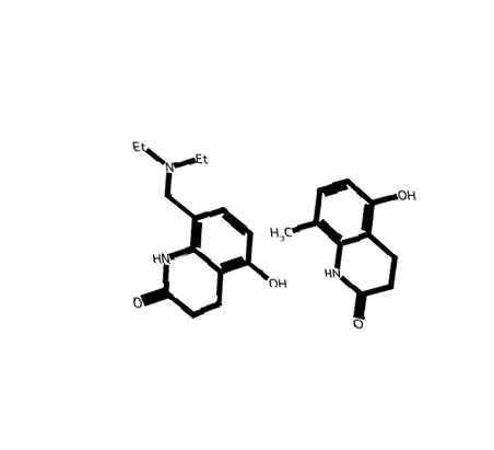 CCN(CC)Cc1ccc(O)c2c1NC(=O)CC2.Cc1ccc(O)c2c1NC(=O)CC2